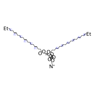 CC/C=C/C/C=C/C/C=C/C/C=C/C/C=C/C/C=C/CCC(=O)OC[C@H](COP(=O)([O-])OCC[N+](C)(C)C)OC(=O)CC/C=C/C/C=C/C/C=C/C/C=C/C/C=C/C/C=C/CC